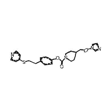 O=C(Oc1ccc(CCSc2ccncc2)cc1)N1CCC(COn2ccnc2)CC1